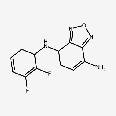 NC1=CCC(NC2CC=CC(F)=C2F)c2nonc21